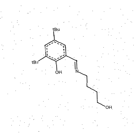 CC(C)(C)c1cc(C=NCCCCO)c(O)c(C(C)(C)C)c1